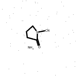 N.N#CN1CCCC1=O